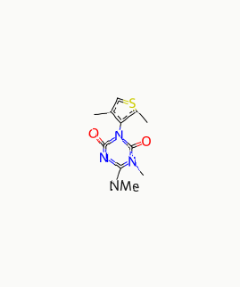 CNc1nc(=O)n(-c2c(C)csc2C)c(=O)n1C